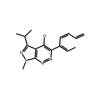 C=C/C=C\C(=C/C)c1nnc2c(c(C(C)C)nn2C)c1Cl